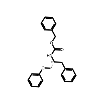 O=C(N[C@@H](COc1ccccc1)Cc1ccccc1)OCc1ccccc1